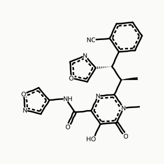 C[C@@H](c1nc(C(=O)Nc2cnoc2)c(O)c(=O)n1C)[C@H](c1cocn1)c1ccccc1C#N